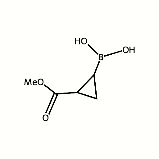 COC(=O)C1CC1B(O)O